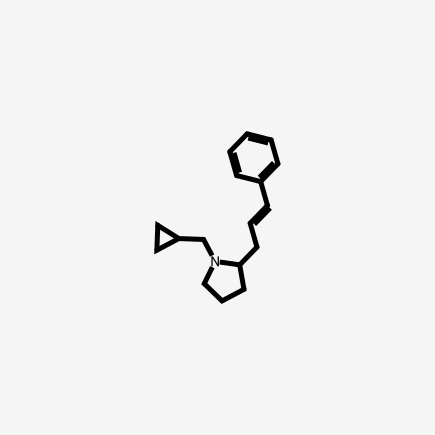 C(=C\c1ccccc1)/CC1CCCN1CC1CC1